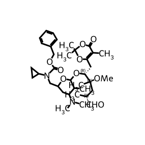 CO[C@](C)(C[C@@H](C)C=O)[C@@H](CC1=C(C)C(=O)OC(C)(C)O1)OC1OC(CN(C(=O)OCc2ccccc2)C2CC2)CC(N(C)C)C1C